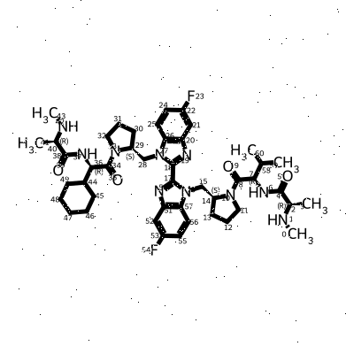 CN[C@H](C)C(=O)N[C@@H](C(=O)N1CCC[C@H]1Cn1c(-c2nc3cc(F)ccc3n2C[C@@H]2CCCN2C(=O)[C@H](NC(=O)[C@@H](C)NC)C2CCCCC2)nc2cc(F)ccc21)C(C)C